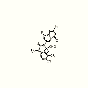 CCc1cc(=O)n2cc(N(C(=S)N(C)c3ccc(C#N)c(C(F)(F)F)c3)C3(C=O)CCC3)cc(F)c2n1